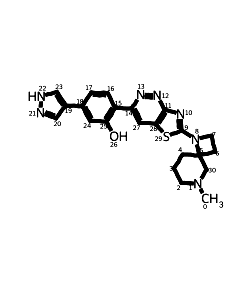 CN1CCCC2(CCN2c2nc3nnc(-c4ccc(-c5cn[nH]c5)cc4O)cc3s2)C1